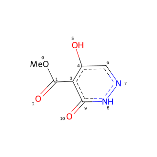 COC(=O)c1c(O)cn[nH]c1=O